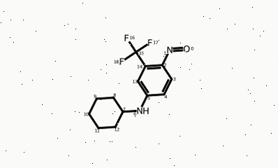 O=Nc1ccc(N[C]2CCCCC2)cc1C(F)(F)F